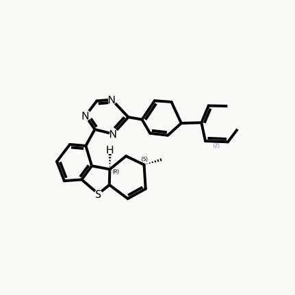 CC=C(/C=C\C)C1C=CC(c2ncnc(-c3cccc4c3[C@H]3C[C@H](C)C=CC3S4)n2)=CC1